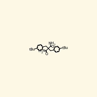 CC(C)(C)c1ccc(CC(Cc2ccc(C(C)(C)C)cc2)(C(N)=O)C(N)=O)cc1